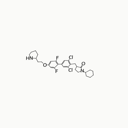 O=C1C(Cc2c(Cl)cc(-c3c(F)cc(OCCC4CCCCN4)cc3F)cc2Cl)CCN1C1CCCCC1